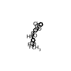 CC(Oc1ccc(NC(=O)OC2CCN(S(=O)(=O)c3ccccc3Cl)CC2)cc1)C(F)(F)F